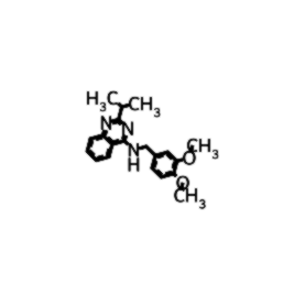 COc1ccc(CNc2nc(C(C)C)nc3ccccc23)cc1OC